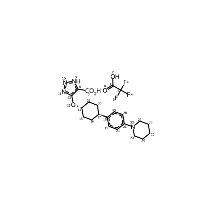 O=C(O)C(F)(F)F.O=C(O)c1[nH]nnc1O[C@H]1CC[C@H](c2ccc(N3CCCCC3)cc2)CC1